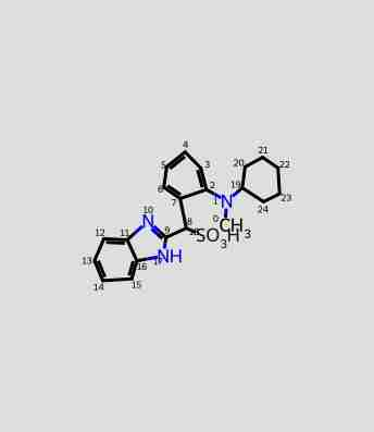 CN(c1ccccc1C(c1nc2ccccc2[nH]1)S(=O)(=O)O)C1CCCCC1